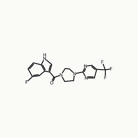 O=C(c1c[nH]c2ccc(F)cc12)N1CCN(c2ncc(C(F)(F)F)cn2)CC1